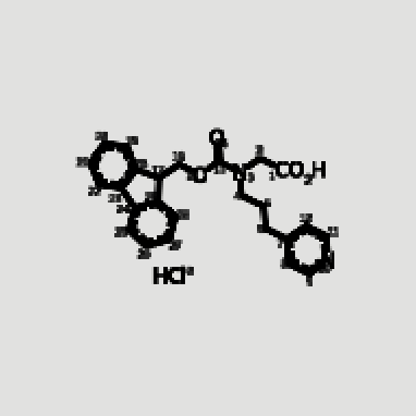 Cl.O=C(O)CN(CCCc1ccncc1)C(=O)OCC1c2ccccc2-c2ccccc21